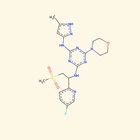 Cc1cc(Nc2nc(NC(CS(C)(=O)=O)c3ccc(F)cn3)nc(N3CCOCC3)n2)n[nH]1